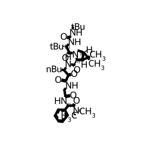 CCCCC(NC(=O)[C@@H]1[C@H]2[C@@H](CN1C(=O)[C@@H](NC(=O)NC(C)(C)C)C(C)(C)C)C2(C)C)C(=O)C(=O)NCC(=O)N[C@H](C(=O)N(C)C)c1ccccc1